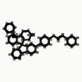 C1=CC(Nc2ccccc2)=C(C2(c3ccccc3)c3ccccc3-c3ccc(-c4ccc(C/N=C/c5ccccc5)cc4)cc32)CN1